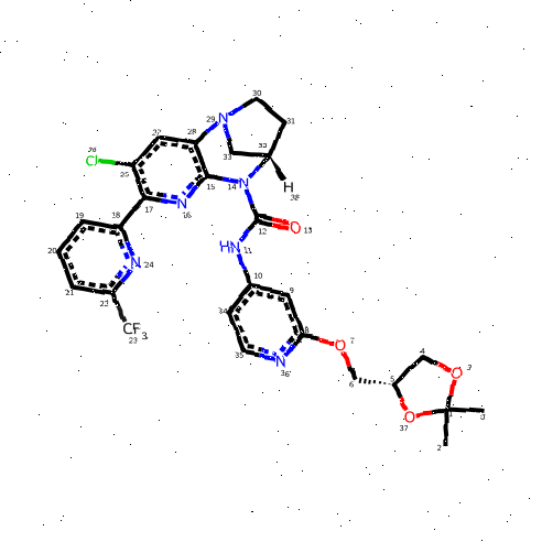 CC1(C)OC[C@@H](COc2cc(NC(=O)N3c4nc(-c5cccc(C(F)(F)F)n5)c(Cl)cc4N4CC[C@H]3C4)ccn2)O1